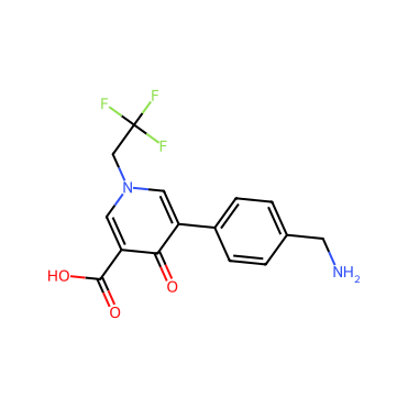 NCc1ccc(-c2cn(CC(F)(F)F)cc(C(=O)O)c2=O)cc1